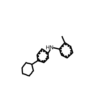 Cc1ccccc1Nc1ccc(C2CCCCC2)cc1